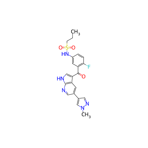 CCCS(=O)(=O)Nc1ccc(F)c(C(=O)c2c[nH]c3ncc(-c4cnn(C)c4)cc23)c1